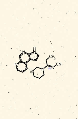 N#C/N=C(\CC(F)(F)F)N1CCC[C@H](c2ccnc3cnc4[nH]ccc4c23)C1